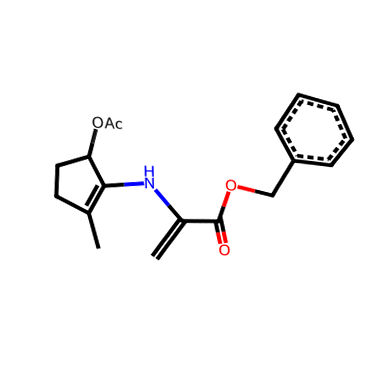 C=C(NC1=C(C)CCC1OC(C)=O)C(=O)OCc1ccccc1